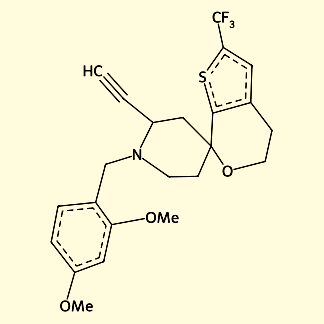 C#CC1CC2(CCN1Cc1ccc(OC)cc1OC)OCCc1cc(C(F)(F)F)sc12